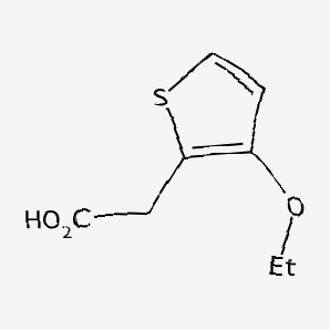 CCOc1ccsc1CC(=O)O